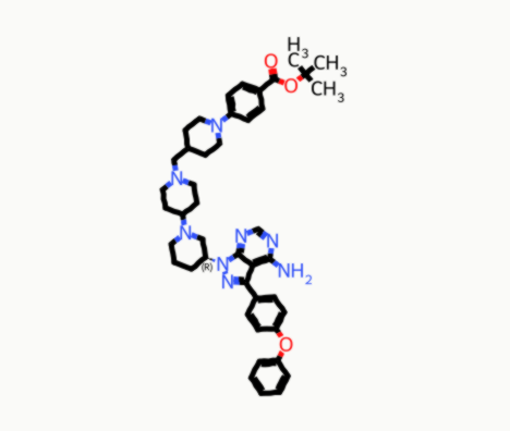 CC(C)(C)OC(=O)c1ccc(N2CCC(CN3CCC(N4CCC[C@@H](n5nc(-c6ccc(Oc7ccccc7)cc6)c6c(N)ncnc65)C4)CC3)CC2)cc1